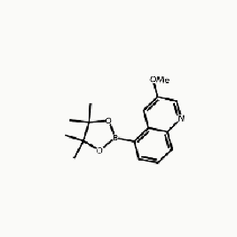 COc1cnc2cccc(B3OC(C)(C)C(C)(C)O3)c2c1